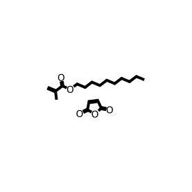 C=C(C)C(=O)OCCCCCCCCCC.O=C1C=CC(=O)O1